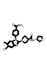 Cc1cc2c(cc1Cl)nc(N1CCC(C(=O)N[C@@H]3CCOC3)CC1)n2-c1ccc(C(N)=O)cc1